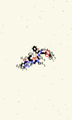 CC[C@H](C)[C@H](NC(=O)[C@H](CC(C)C)NC)C(=O)N(C)CC(=O)N(C)CC(=O)N(C)[C@@H](CC1CCCCC1)C(=O)N(C)CC(=O)OC(C)(C)C